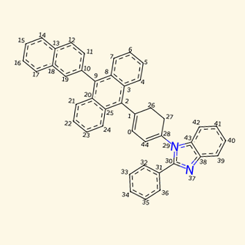 C1=C(c2c3ccccc3c(-c3ccc4ccccc4c3)c3ccccc23)CCC(n2c(-c3ccccc3)nc3ccccc32)=C1